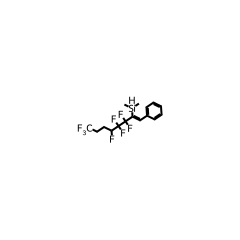 C[SiH](C)C(=Cc1ccccc1)C(F)(F)C(F)(F)C(F)CCC(F)(F)F